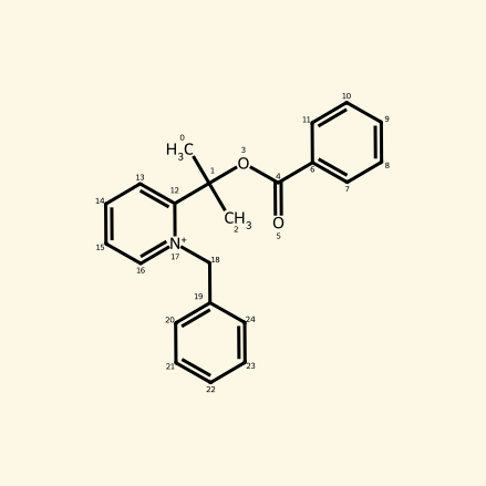 CC(C)(OC(=O)c1ccccc1)c1cccc[n+]1Cc1ccccc1